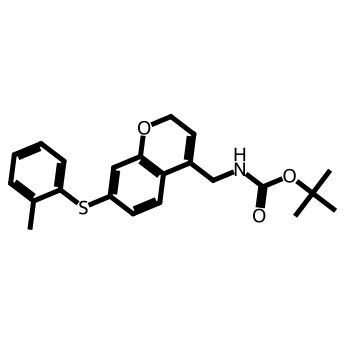 Cc1ccccc1Sc1ccc2c(c1)OCC=C2CNC(=O)OC(C)(C)C